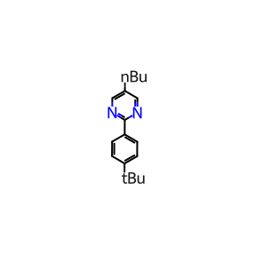 CCCCc1cnc(-c2ccc(C(C)(C)C)cc2)nc1